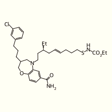 CCOC(=O)NSCCC/C=C/C[C@H](CC)CCN1CC(CCCc2cccc(Cl)c2)COc2ccc(C(N)=O)cc21